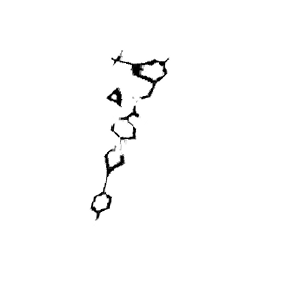 O=C(NCc1cc(F)cc(C(F)(F)F)c1)[C@@]1(C2CC2)CC[C@@H](N2CC(c3ccc(F)cc3)C2)CO1